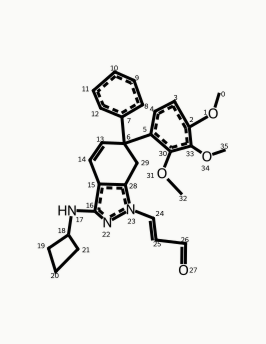 COc1ccc(C2(c3ccccc3)C=Cc3c(NC4CCC4)nn(C=CC=O)c3C2)c(OC)c1OC